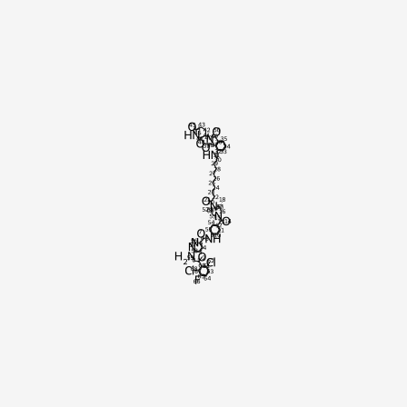 CC(Oc1cc(C(=O)Nc2ccc(C(=O)N3C[C@@H](C)N(C(=O)CCCCCCCCCNc4cccc5c4C(=O)N(C4CCC(=O)NC4=O)C5=O)[C@@H](C)C3)cc2)nnc1N)c1c(Cl)ccc(F)c1Cl